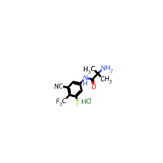 CC(C)(N)C(=O)Nc1cc(F)c(C(F)(F)F)c(C#N)c1.Cl